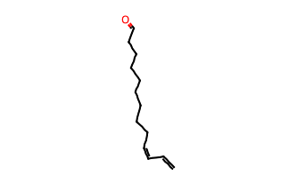 C=C/C=C\CCCCCCCCC=O